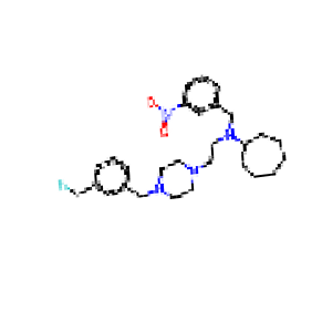 O=[N+]([O-])c1cccc(CN(CCN2CCN(Cc3cccc(CF)c3)CC2)C2CCCCCC2)c1